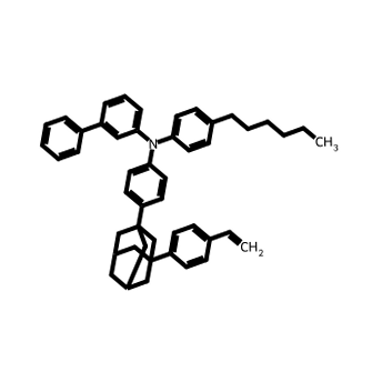 C=Cc1ccc(C23CC4CC(C2)CC(c2ccc(N(c5ccc(CCCCCC)cc5)c5cccc(-c6ccccc6)c5)cc2)(C4)C3)cc1